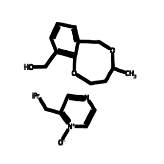 CC(C)Cc1cncc[n+]1[O-].CC1CCOc2c(CO)cccc2CO1